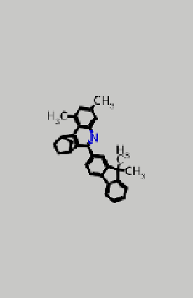 Cc1cc(C)c2c3c(c(-c4ccc5c(c4)C(C)(C)c4ccccc4-5)nc2c1)C1CCC3C1